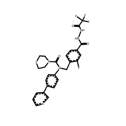 O=C(NNC(=O)C(F)(F)F)c1ccc(CN(C(=O)N2CCSCC2)c2ccc(-c3cccnc3)cc2)c(F)c1